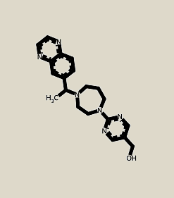 CC(c1ccc2nccnc2c1)N1CCCN(c2ncc(CO)cn2)CC1